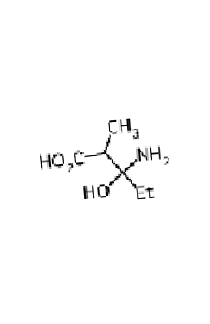 CCC(N)(O)C(C)C(=O)O